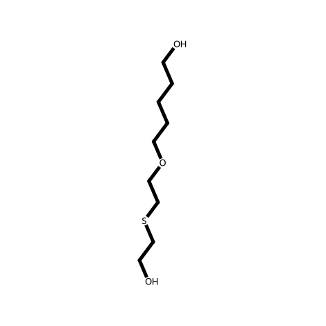 OCCCCCOCCSCCO